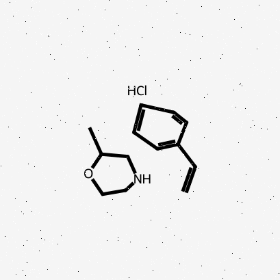 C=Cc1ccccc1.CC1CNCCO1.Cl